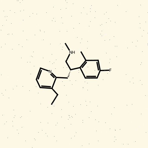 CCc1cccnc1C[C@H](CNC)c1ccc(F)cc1C